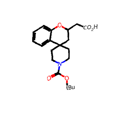 CC(C)(C)OC(=O)N1CCC2(CC1)CC(CC(=O)O)Oc1ccccc12